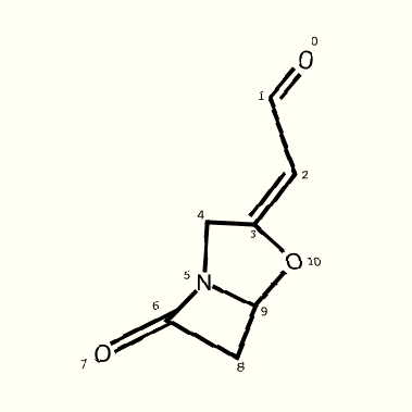 O=C/C=C1\CN2C(=O)CC2O1